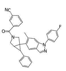 Cc1cc2c(cnn2-c2ccc(F)cc2)cc1C12CN(C(=O)c3cccc(C#N)c3)CC1C2c1ccccc1